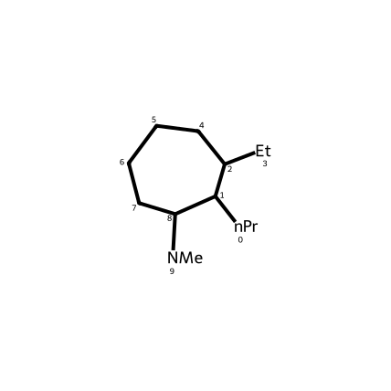 CCCC1C(CC)CCCCC1NC